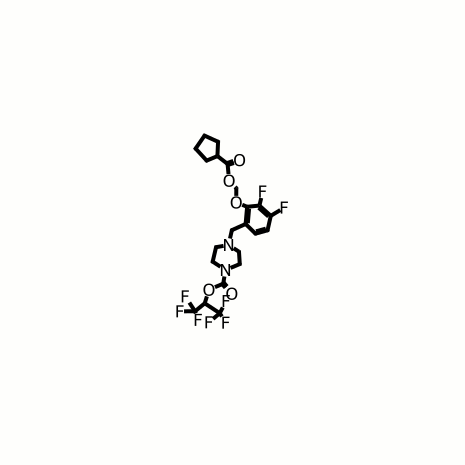 O=C(OCOc1c(CN2CCN(C(=O)OC(C(F)(F)F)C(F)(F)F)CC2)ccc(F)c1F)C1CCCC1